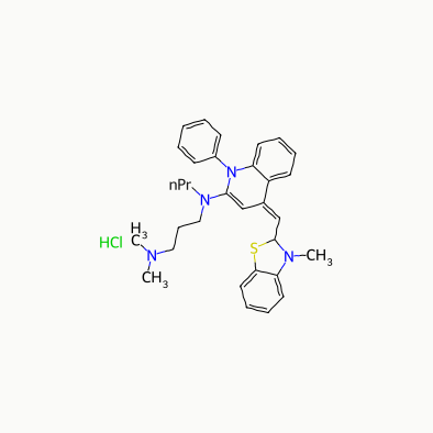 CCCN(CCCN(C)C)C1=CC(=CC2Sc3ccccc3N2C)c2ccccc2N1c1ccccc1.Cl